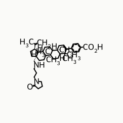 C=C(C)[C@@H]1CC[C@]2(CNCCCN3CCCC3=O)CC[C@]3(C)[C@H](CC[C@@H]4[C@@]5(C)CC=C(c6ccc(C(=O)O)cc6)C(C)(C)[C@@H]5CC[C@]43C)[C@@H]12